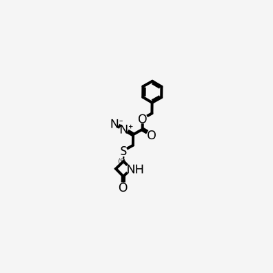 [N-]=[N+]=C(CS[C@H]1CC(=O)N1)C(=O)OCc1ccccc1